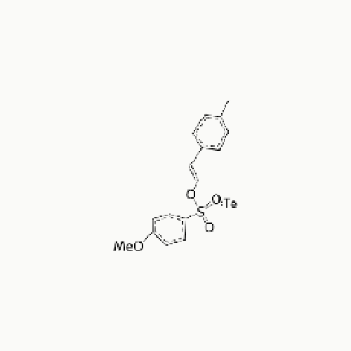 COc1ccc(S(=O)(=O)OC=Cc2ccc(C)cc2)cc1.[Te]